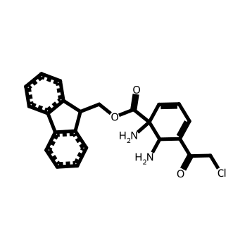 NC1C(C(=O)CCl)=CC=CC1(N)C(=O)OCC1c2ccccc2-c2ccccc21